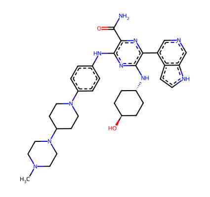 CN1CCN(C2CCN(c3ccc(Nc4nc(N[C@H]5CC[C@H](O)CC5)c(-c5cncc6[nH]ccc56)nc4C(N)=O)cc3)CC2)CC1